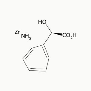 N.O=C(O)[C@H](O)c1ccccc1.[Zr]